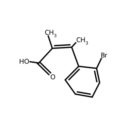 CC(C(=O)O)=C(C)c1ccccc1Br